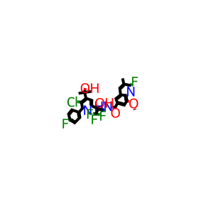 COc1cc(C(=O)NC[C@](O)(c2cc(C(C)(C)O)c(Cl)c(-c3ccc(F)cc3)n2)C(F)(F)F)cc2cc(C)c(F)nc12